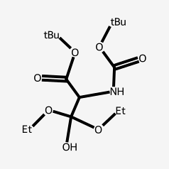 CCOC(O)(OCC)C(NC(=O)OC(C)(C)C)C(=O)OC(C)(C)C